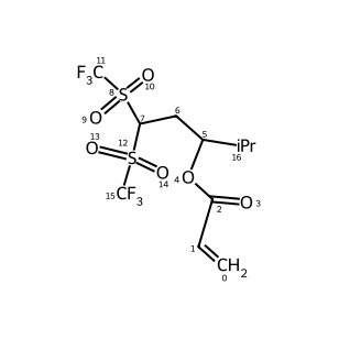 C=CC(=O)OC(CC(S(=O)(=O)C(F)(F)F)S(=O)(=O)C(F)(F)F)C(C)C